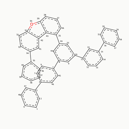 c1ccc(-c2ccc(-c3cc(-c4cccc(-c5ccccc5)c4)cc(-c4cccc5oc6ccc(-c7ccccc7)cc6c45)c3)cc2)cc1